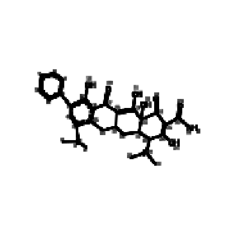 CN(C)c1cc(-c2ccccc2)c(O)c2c1CC1CC3C(N(C)C)C(O)=C(C(N)=O)C(=O)C3(O)C(O)=C1C2=O